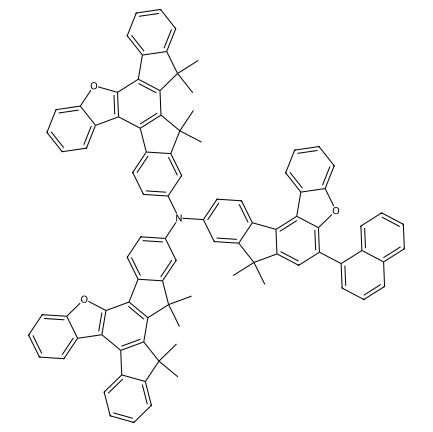 CC1(C)c2cc(N(c3ccc4c(c3)C(C)(C)c3c5c(c6c(oc7ccccc76)c3-4)-c3ccccc3C5(C)C)c3ccc4c(c3)C(C)(C)c3c5c(c6oc7ccccc7c6c3-4)-c3ccccc3C5(C)C)ccc2-c2c1cc(-c1cccc3ccccc13)c1oc3ccccc3c21